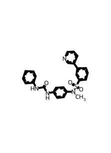 CN(c1ccc(NC(=O)Nc2ccccc2)cc1)S(=O)(=O)c1cccc(-c2cccnc2)c1